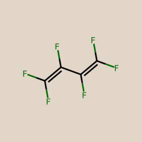 FC(F)=C(F)C(F)=C(F)F